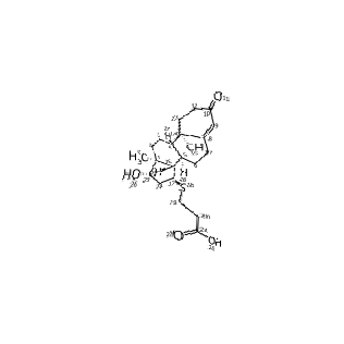 C[C@]12CC[C@H]3[C@@H](CCC4=CC(=O)CC[C@@]43C)[C@@H]1[C@@H](SCCC(=O)O)C[C@@H]2O